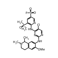 COc1cc2c(cc1Nc1ncc(Cl)c(Nc3ncc(S(=O)(=O)F)cc3P(C)(C)=O)n1)C(C)N(C)CC2